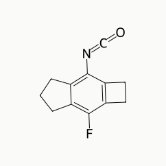 O=C=Nc1c2c(c(F)c3c1CC3)CCC2